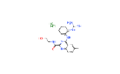 Cc1ccc2nc(C(=O)NCCO)nc(N[C@H]3CCCC[C@H]3NC(=N)N)c2c1.Cl.Cl